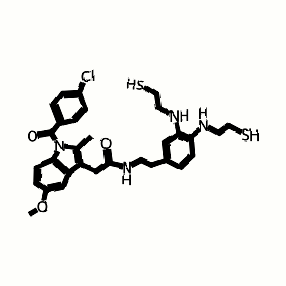 COc1ccc2c(c1)c(CC(=O)NCCc1ccc(NCCS)c(NCCS)c1)c(C)n2C(=O)c1ccc(Cl)cc1